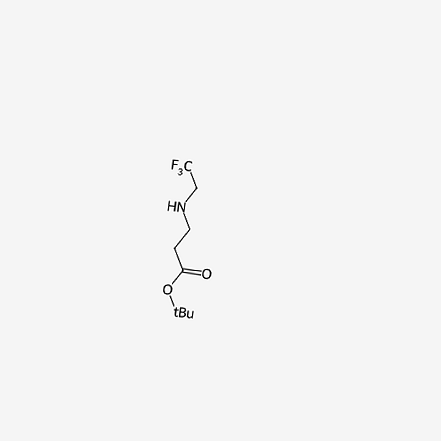 CC(C)(C)OC(=O)CCNCC(F)(F)F